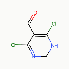 O=CC1=C(Cl)NCN=C1Cl